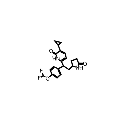 O=C1CCC(CC(c2ccc(OC(F)F)cc2)c2ccc(C3CC3)c(=O)[nH]2)N1